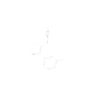 N#CCC1CCC(=O)N1c1cccc(Cl)c1